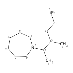 CC(C)CCC(C)C(C)N1CCCCCC1